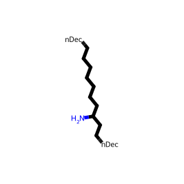 CCCCCCCCCCCCCCCCCC(N)CCCCCCCCCCCC